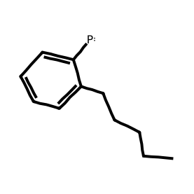 CCCCCc1ccccc1[P]